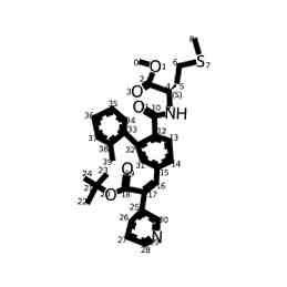 COC(=O)[C@H](CCSC)NC(=O)c1ccc(C=C(C(=O)OC(C)(C)C)c2cccnc2)cc1-c1ccccc1C